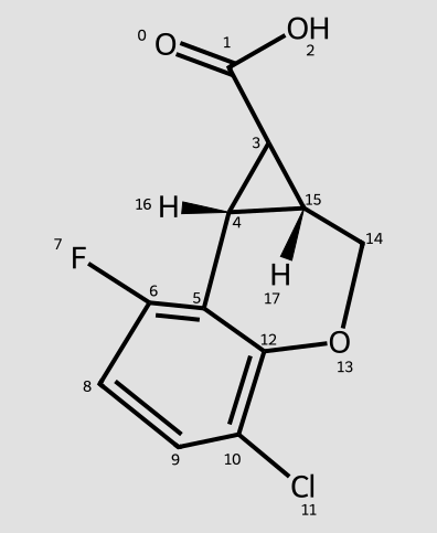 O=C(O)C1[C@H]2c3c(F)ccc(Cl)c3OC[C@@H]12